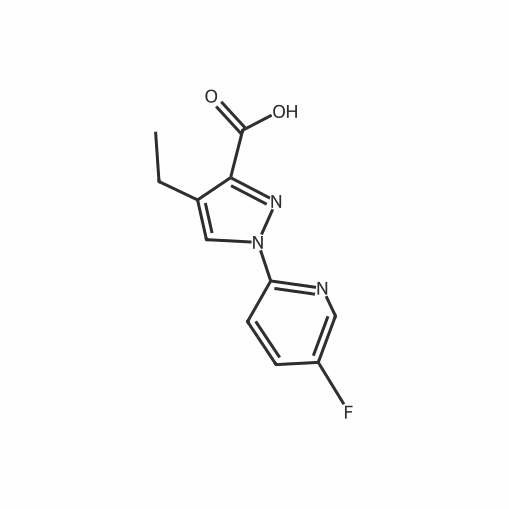 CCc1cn(-c2ccc(F)cn2)nc1C(=O)O